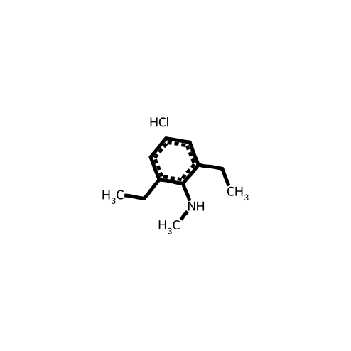 CCc1cccc(CC)c1NC.Cl